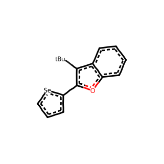 CC(C)(C)c1c(-c2ccc[se]2)oc2ccccc12